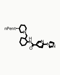 CCCCC[C@H]1CCCN(CC2CCCCC2NC(=O)c2ccc(-n3ccnc3)nc2)C1